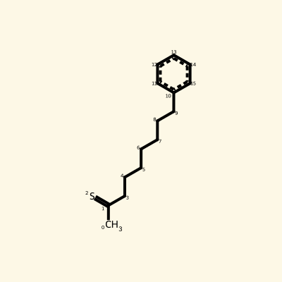 CC(=S)CCCCCCCc1ccccc1